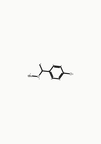 CC(OC(C)(C)C)c1ccc(Cl)cc1